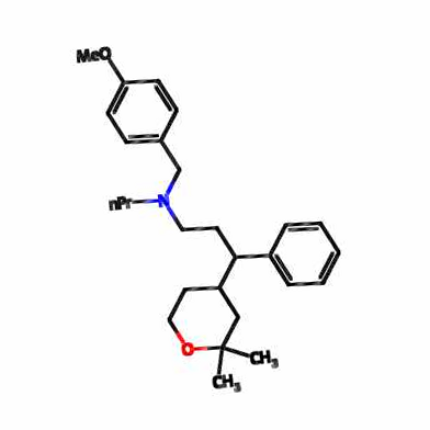 CCCN(CCC(c1ccccc1)C1CCOC(C)(C)C1)Cc1ccc(OC)cc1